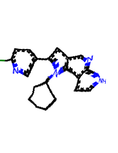 Fc1ccc(-c2cc3cnc4[nH]ccc4c3n2C2CCCCC2)cn1